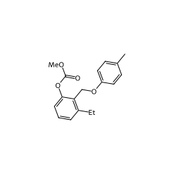 CCc1cccc(OC(=O)OC)c1COc1ccc(C)cc1